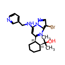 CC(C)(O)[C@H]1CCCC[C@H]1c1cc(NCc2cccnc2)n2ncc(Br)c2n1